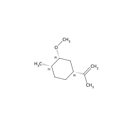 C=C(C)[C@@H]1CC[C@H](C)[C@H](OC)C1